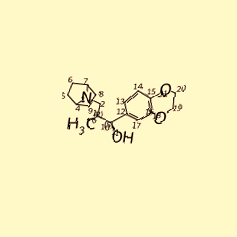 C[C@H](CN1C2CCC1CC2)[C@H](O)c1ccc2c(c1)OCCO2